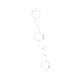 COc1ccc(/C=C/C(=O)Nc2ccc(/C=C/c3cc(OC)c(OC)c(OC)c3)cc2O)cc1[N+](=O)[O-]